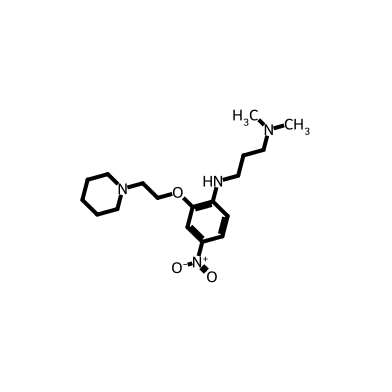 CN(C)CCCNc1ccc([N+](=O)[O-])cc1OCCN1CCCCC1